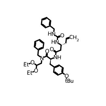 C=CC[C@H](CC(=O)N[C@@H](Cc1ccc(OC(C)(C)C)cc1)C(=O)N(Cc1ccccc1)CC(OCC)OCC)NC(=O)NCc1ccccc1